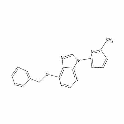 Cc1cccc(-n2cnc3c(OCc4ccccc4)ncnc32)n1